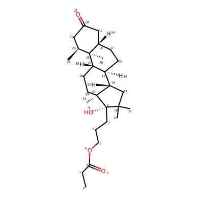 CCC(=O)OCCC[C@]1(O)C(C)(C)C[C@H]2[C@@H]3CC[C@H]4CC(=O)C[C@H](C)[C@]4(C)[C@H]3CC[C@@]21C